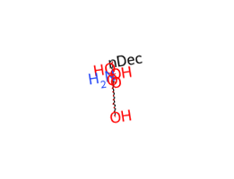 CCCCCCCCCCCCC(O)/C=C/C(O)C(N)COC(=O)CCCCCCCCCCCCCCCCCO